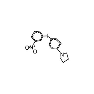 O=[N+]([O-])c1cccc([I+]c2ccc(N3CCCC3)cc2)c1